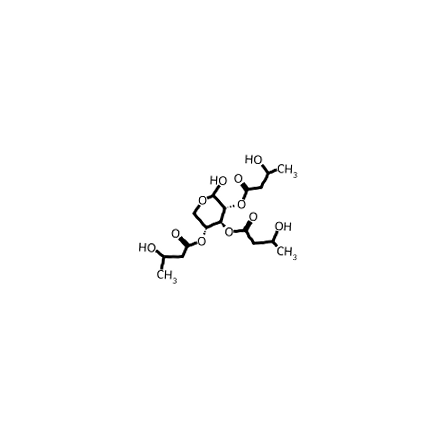 CC(O)CC(=O)O[C@H]1[C@H](OC(=O)CC(C)O)COC(O)[C@@H]1OC(=O)CC(C)O